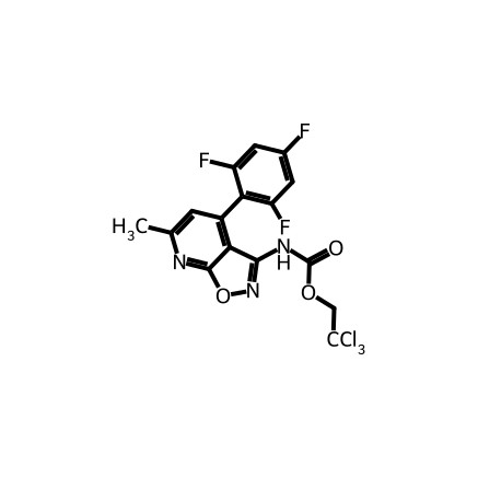 Cc1cc(-c2c(F)cc(F)cc2F)c2c(NC(=O)OCC(Cl)(Cl)Cl)noc2n1